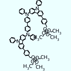 CCO[Si](OCC)(OCC)OCc1ccc(-c2ccc3c(c2)c2cc(N(c4ccccc4)c4ccc(-c5ccc(N(c6ccccc6)c6ccc7c(c6)c6cc(-c8ccc(CO[Si](OCC)(OCC)OCC)cc8)ccc6n7-c6ccccc6)cc5)cc4)ccc2n3-c2ccccc2)cc1